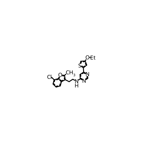 CCOc1csc(-c2cc(NCCc3c(C)oc4c(Cl)cccc34)ncn2)c1